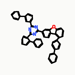 c1ccc(-c2ccc(-c3cccc4oc5cc(-c6nc(-c7cccc(-c8ccccc8)c7)nc(-c7ccccc7-c7ccccc7)n6)ccc5c34)cc2)cc1